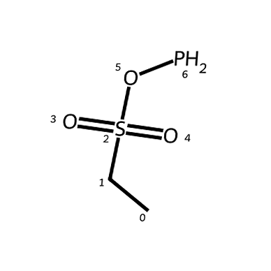 CCS(=O)(=O)OP